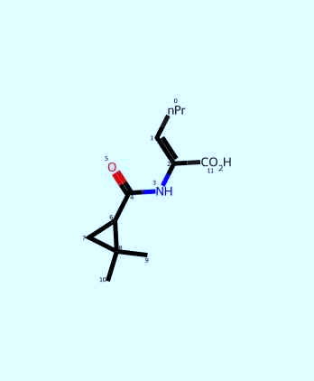 CCCC=C(NC(=O)C1CC1(C)C)C(=O)O